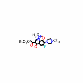 CCOC(=O)CC(=O)c1cn2c3c(c(N4CCN(C)CC4)c(F)cc3c1=O)OCN2C